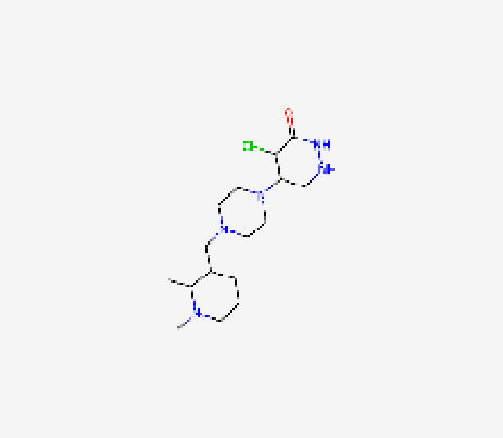 CC1C(CN2CCN(C3CNNC(=O)C3Cl)CC2)CCCN1C